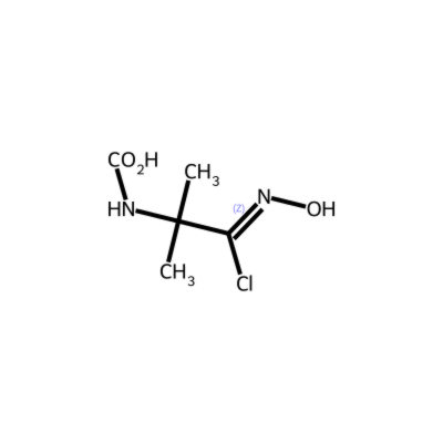 CC(C)(NC(=O)O)/C(Cl)=N/O